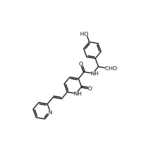 O=[C]C(NC(=O)c1ccc(C=Cc2ccccn2)[nH]c1=O)c1ccc(O)cc1